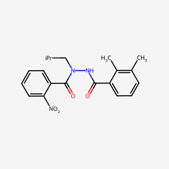 Cc1cccc(C(=O)NN(CC(C)C)C(=O)c2ccccc2[N+](=O)[O-])c1C